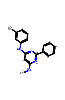 CC(C)Nc1cc(Nc2cccc(C#N)c2)nc(-c2ccccc2)n1